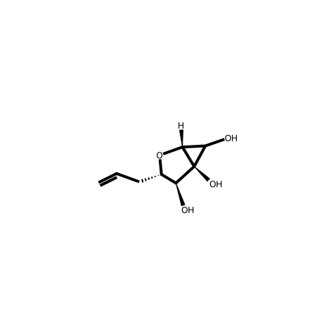 C=CC[C@@H]1O[C@@H]2C(O)[C@]2(O)[C@H]1O